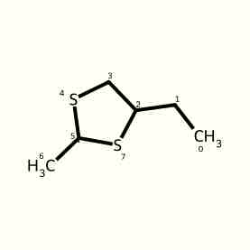 CCC1CS[C](C)S1